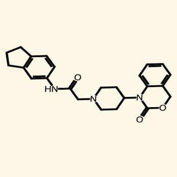 O=C(CN1CCC(N2C(=O)OCc3ccccc32)CC1)Nc1ccc2c(c1)CCC2